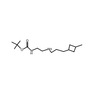 CC1CC(CCCNCCNC(=O)OC(C)(C)C)C1